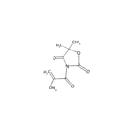 C=C(C)C(=O)N1C(=O)OC(C)(C)C1=O